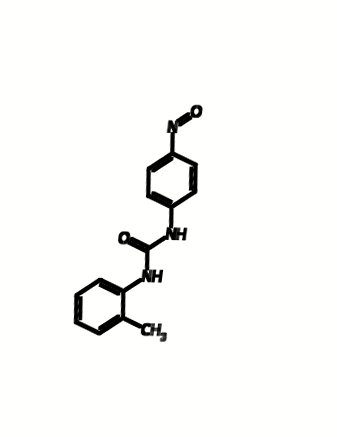 Cc1ccccc1NC(=O)Nc1ccc(N=O)cc1